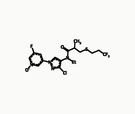 CCN(C(=O)C(C)CSCCC(F)(F)F)c1cn(-c2cc(F)c[n+]([O-])c2)nc1Cl